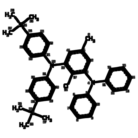 Cc1cc(N(c2ccccc2)c2ccccc2)c(Cl)c(N(c2ccc([Si](C)(C)C)cc2)c2ccc([Si](C)(C)C)cc2)c1